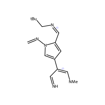 C=Nn1cc(/C(C=N)=C/NC)cc1/C=N\CC(C)(C)C